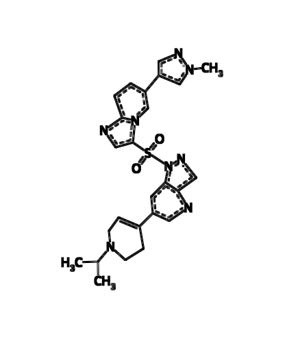 CC(C)N1CC=C(c2cnc3cnn(S(=O)(=O)c4cnc5ccc(-c6cnn(C)c6)cn45)c3c2)CC1